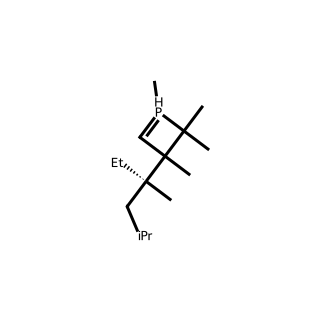 CC[C@](C)(CC(C)C)C1(C)C=[PH](C)C1(C)C